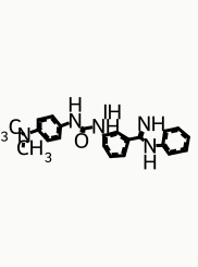 CN(C)c1ccc(NC(=O)Nc2cccc(C(=N)Nc3ccccc3)c2)cc1.I